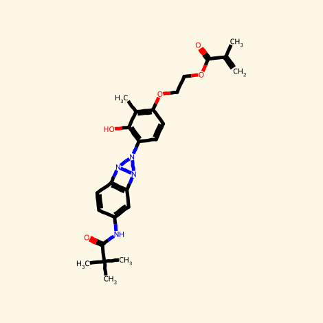 C=C(C)C(=O)OCCOc1ccc(-n2n3c4ccc(NC(=O)C(C)(C)C)cc4n23)c(O)c1C